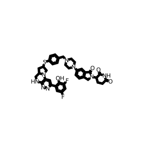 O=C1CCC(N2Cc3ccc(N4CCN(Cc5ccc(SC6CC7CNc8nnc(-c9cc(F)cc(F)c9O)cc8N7C6)cc5)CC4)cc3C2=O)C(=O)N1